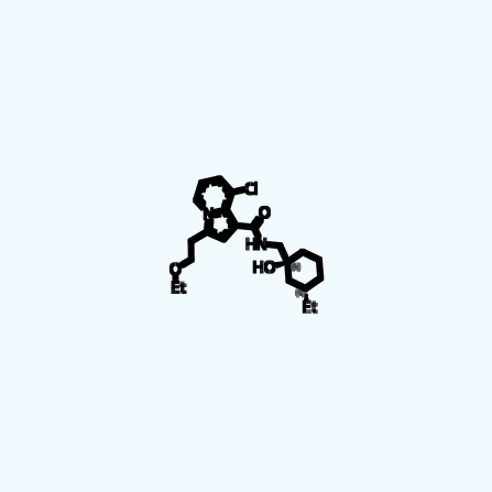 CCOCCc1cc(C(=O)NC[C@]2(O)CCC[C@H](CC)C2)c2c(Cl)cccn12